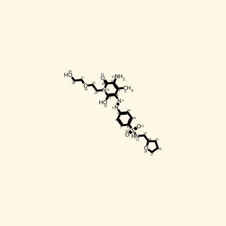 Cc1c(/N=N/c2ccc(S(=O)(=O)NCC3CCCO3)cc2)c(O)n(CCOCCO)c(=O)c1N